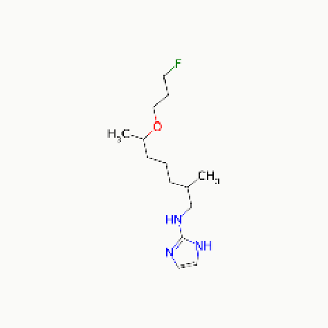 CC(CCCC(C)OCCCF)CNc1ncc[nH]1